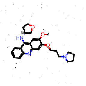 COc1cc2c(N[C@@H]3CCOC3)c3ccccc3nc2cc1OCCCN1CCCC1